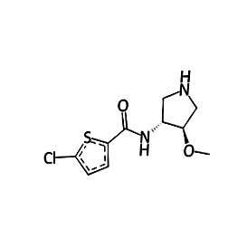 CO[C@@H]1CNC[C@H]1NC(=O)c1ccc(Cl)s1